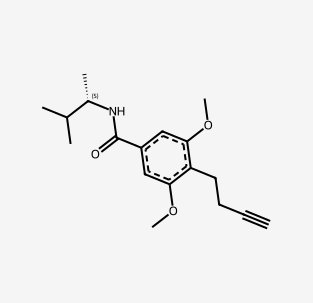 C#CCCc1c(OC)cc(C(=O)N[C@@H](C)C(C)C)cc1OC